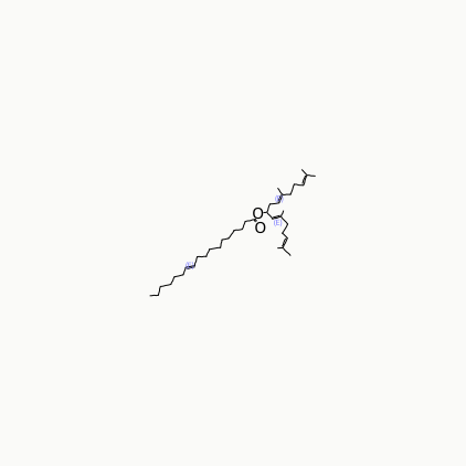 CCCCCC/C=C/CCCCCCCCCC(=O)OC(/C=C(\C)CCC=C(C)C)C/C=C(\C)CCC=C(C)C